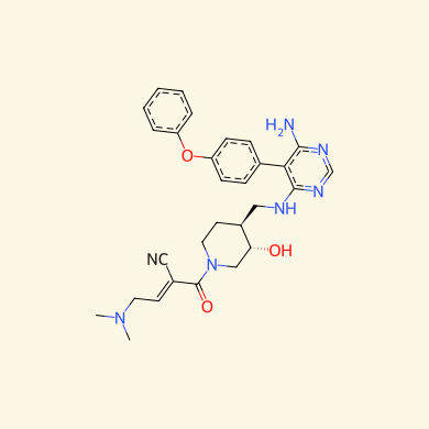 CN(C)C/C=C(\C#N)C(=O)N1CC[C@@H](CNc2ncnc(N)c2-c2ccc(Oc3ccccc3)cc2)[C@H](O)C1